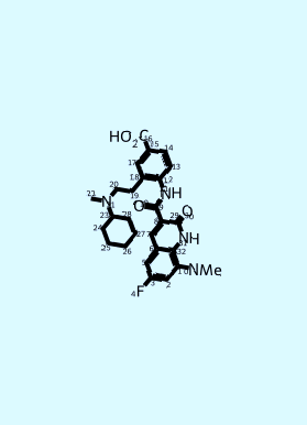 CNc1cc(F)cc2cc(C(=O)Nc3ccc(C(=O)O)cc3CCN(C)C3CCCCC3)c(=O)[nH]c12